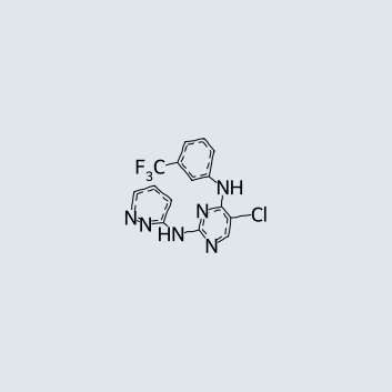 FC(F)(F)c1cccc(Nc2nc(Nc3cccnn3)ncc2Cl)c1